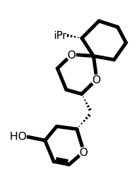 CC(C)[C@@H]1CCCCC12OCC[C@@H](C[C@H]1CC(O)C=CO1)O2